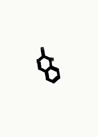 O=c1ncc2c[c]ccc2[nH]1